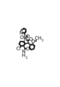 CCOc1ccccc1[C]1C(=O)N(S(=O)(=O)c2ccccn2)c2ccc(Cl)c(C(N)=O)c21